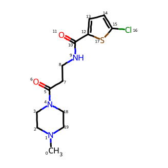 CN1CCN(C(=O)CCNC(=O)c2ccc(Cl)s2)CC1